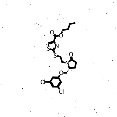 CCCCOC(=O)c1csc(SCCN2C(=O)CC[C@@H]2COc2cc(Cl)cc(Cl)c2)n1